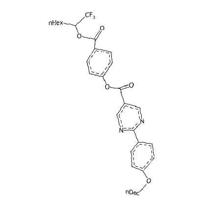 CCCCCCCCCCOc1ccc(-c2ncc(C(=O)Oc3ccc(C(=O)OC(CCCCCC)C(F)(F)F)cc3)cn2)cc1